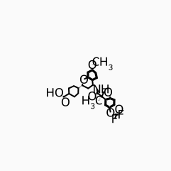 COc1ccc2c(c1)O[C@@H](C1CCC(C(=O)O)CC1)C[C@H]2NC(=O)[C@@]1(C)COc2cc3c(cc21)OC(F)(F)O3